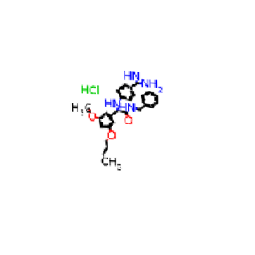 CCCCOc1cc(OC)cc(C(Nc2ccc(C(=N)N)cc2)C(=O)NCc2ccccc2)c1.Cl